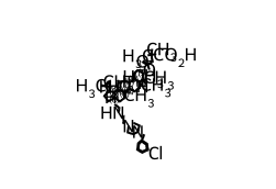 C=C(C)C1CC[C@]2(CCNCCN3CCN(Cc4cccc(Cl)c4)CC3)CC[C@]3(C)[C@H](CC[C@@H]4[C@@]5(C)CC[C@H](OC(=O)CC(C)(C)C(=O)O)C(C)(C)[C@@H]5CC[C@]43C)[C@@H]12